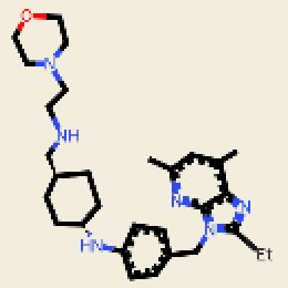 CCc1nc2c(C)cc(C)nc2n1Cc1ccc(N[C@H]2CC[C@H](CNCCN3CCOCC3)CC2)cc1